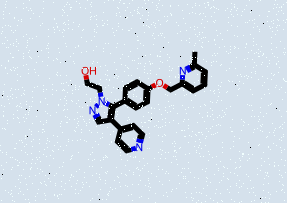 Cc1cccc(COc2ccc(-c3c(-c4ccncc4)cnn3CCO)cc2)n1